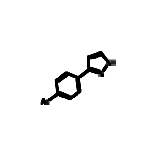 CC(=O)c1ccc(-c2cc[nH]n2)cc1